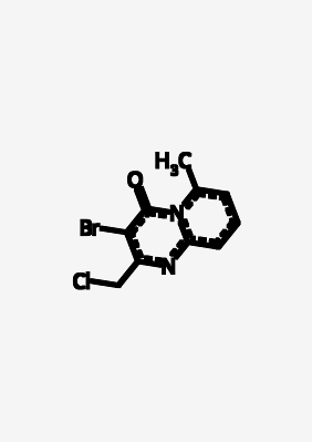 Cc1cccc2nc(CCl)c(Br)c(=O)n12